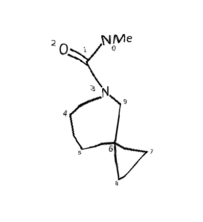 CNC(=O)N1CCC2(CC2)C1